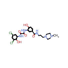 CN1CCN(CCCNC(=O)c2ccc(O)c(NC(=O)C(=O)Nc3cc(Cl)cc(Cl)c3O)c2)CC1